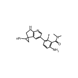 CCCC1CC12CNc1ncc(-c3ccc(N)c(C(=O)N(C)C)c3F)cc12